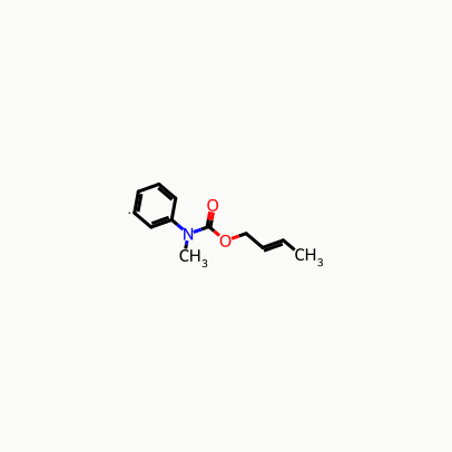 CC=CCOC(=O)N(C)c1c[c]ccc1